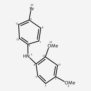 COc1ccc(Nc2ccc(Br)cc2)c(OC)c1